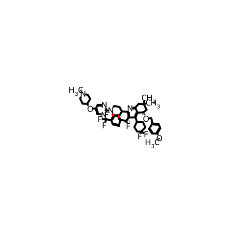 COc1ccc(CO[C@H]2CC(C)(C)Cc3nc(C4CCN(c5ncc(OC6CCN(C)CC6)cn5)CC4)c([C@@H](F)c4ccc(C(F)(F)F)cc4)c(C4CCC(F)(F)CC4)c32)cc1